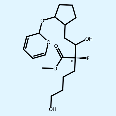 COC(=O)[C@@](F)(CCCCO)C(O)CC1CCCC1OC1C=CC=CO1